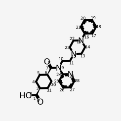 O=C(O)[C@H]1CC[C@@H](C(=O)N(CCN2CCN(c3ccccc3)CC2)c2ccccn2)CC1